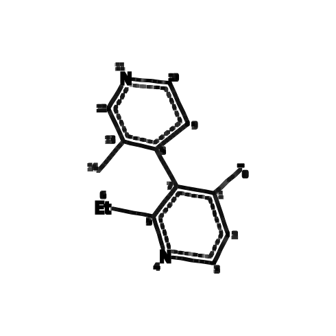 [CH]c1ccnc(CC)c1-c1ccncc1C